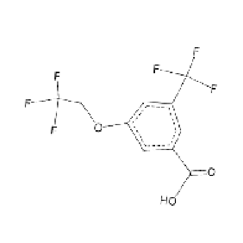 O=C(O)c1cc(OCC(F)(F)F)cc(C(F)(F)F)c1